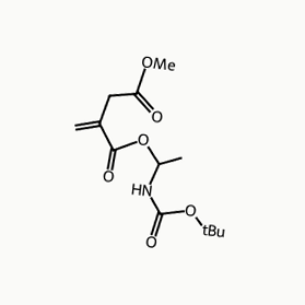 C=C(CC(=O)OC)C(=O)OC(C)NC(=O)OC(C)(C)C